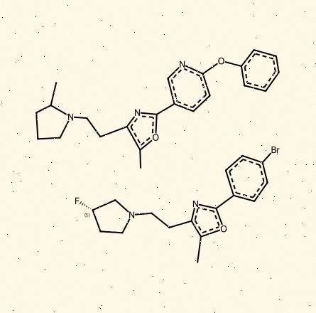 Cc1oc(-c2ccc(Br)cc2)nc1CCN1CC[C@H](F)C1.Cc1oc(-c2ccc(Oc3ccccc3)nc2)nc1CCN1CCCC1C